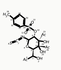 CC(=O)C(O)[C@H]1OC(N=C=S)[C@H](OS(=O)(=O)c2ccc(C)cc2)[C@](O)(C(C)=O)[C@@]1(O)C(C)=O